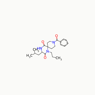 CCCN1C(=O)C(CC(C)C)NC(=O)C12CCN(C(=O)c1ccccc1)CC2